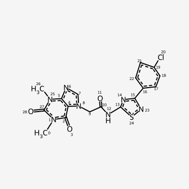 Cn1c(=O)c2c(ncn2CC(=O)Nc2nc(-c3ccc(Cl)cc3)ns2)n(C)c1=O